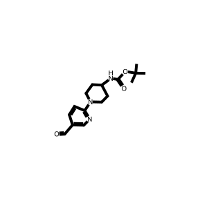 CC(C)(C)OC(=O)NC1CCN(c2ccc(C=O)cn2)CC1